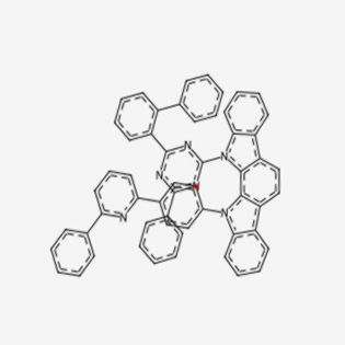 c1ccc(-c2cccc(-c3ccc(-n4c5ccccc5c5ccc6c7ccccc7n(-c7nc(-c8ccccc8)nc(-c8ccccc8-c8ccccc8)n7)c6c54)cc3)n2)cc1